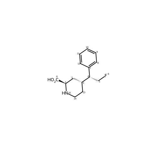 O=C(O)[C@H]1C[C@H]([C@@H](CF)c2ccccc2)CCN1